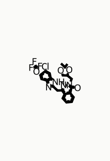 CC1(C)OCC(Cn2nc(Cc3nc4cc(OC(F)(F)F)c(Cl)cc4[nH]3)c3ccccc3c2=O)O1